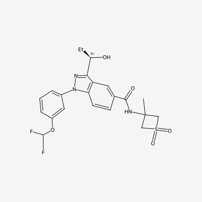 CC[C@@H](O)c1nn(-c2cccc(OC(F)F)c2)c2ccc(C(=O)NC3(C)CS(=O)(=O)C3)cc12